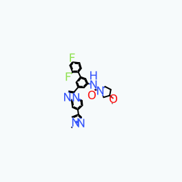 COC1CCN(C(=O)Nc2cc(-c3ccc(F)cc3F)cc(-c3cnc4cc(-c5cnn(C)c5)ccn34)c2)C1